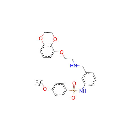 O=S(=O)(Nc1cccc(CNCCOc2cccc3c2OCCO3)c1)c1ccc(OC(F)(F)F)cc1